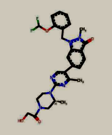 Cc1nc(N2CCN(C(=O)CO)C[C@H]2C)ncc1-c1ccc2c(=O)n(C)n(Cc3ccccc3OC(F)F)c2c1